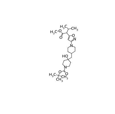 COC(=O)C(c1cc(N2CCC(CC3(O)CCN(C(=O)OC(C)(C)C)CC3)CC2)no1)C(C)C